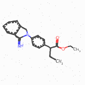 CCOC(=O)C(CC)c1ccc(N2Cc3ccccc3C2=N)cc1